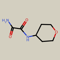 NC(=O)C(=O)NC1CCOCC1